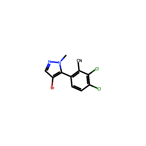 Cn1ncc(Br)c1-c1ccc(Cl)c(Cl)c1C#N